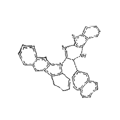 C1=Cc2c(c3cc4ccccc4cc3n2C2=Nc3sc4ccccc4c3NC2c2ccc3ccccc3c2)CC1